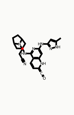 Cc1cc(Nc2cc3c(c(NC4CC5CCC(C4)N5CCC#N)n2)C=CC(=C=O)N3)n[nH]1